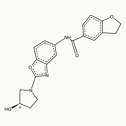 O=C(Nc1ccc2oc(N3CC[C@@H](O)C3)nc2c1)c1ccc2c(c1)CCO2